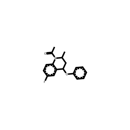 CC(=O)N1c2ccc(F)cc2C(Oc2ccccc2)CC1C